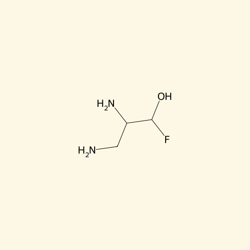 NCC(N)C(O)F